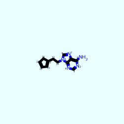 Nc1ncnc2c1ncn2CCC1=CC=CC1